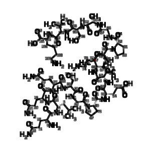 CC(C)C[C@H](NC(=O)[C@@H](N)CCC(N)=O)C(=O)N[C@@H](CCC(N)=O)C(=O)N[C@@H](CCC(N)=O)C(=O)N[C@@H](CO)C(=O)NCC(=O)N1CCC[C@H]1C(=O)N[C@@H](CCC(=O)O)C(=O)N[C@H](C(=O)N[C@H](C(=O)N[C@@H](CCCCN)C(=O)N1CCC[C@H]1C(=O)NCC(=O)N[C@@H](C)C(=O)N[C@@H](CO)C(=O)N[C@H](C(=O)N[C@@H](CCCCN)C(=O)O)C(C)C)C(C)C)C(C)C